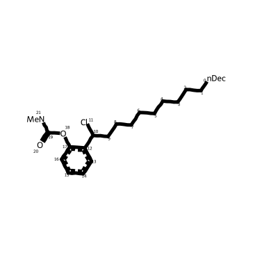 CCCCCCCCCCCCCCCCCCCC(Cl)c1ccccc1OC(=O)NC